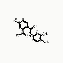 Cc1ccc(NC(=O)c2ccc(Br)cc2C(=O)O)nc1C